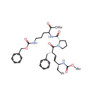 COC(=O)C(CCCNC(=O)OCc1ccccc1)NC(=O)[C@@H]1CCCN1C(=O)[C@H](/C=C/[C@H](CC(C)C)NC(=O)OC(C)(C)C)Cc1ccccc1